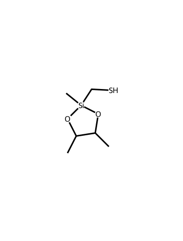 CC1O[Si](C)(CS)OC1C